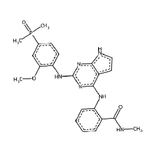 CNC(=O)c1ccccc1Nc1nc(Nc2ccc(P(C)(C)=O)cc2OC)nc2[nH]ccc12